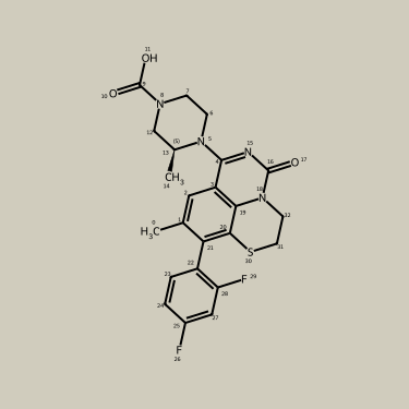 Cc1cc2c(N3CCN(C(=O)O)C[C@@H]3C)nc(=O)n3c2c(c1-c1ccc(F)cc1F)SCC3